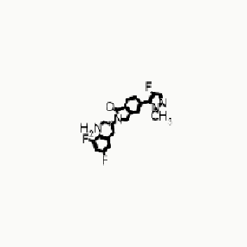 Cn1ncc(F)c1-c1ccc2c(c1)CN([C@H](CN)Cc1cc(F)cc(F)c1)C2=O